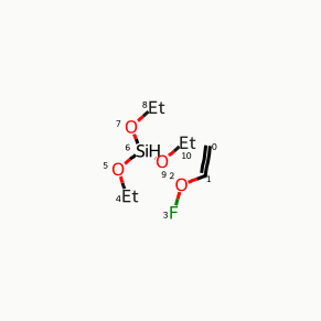 C=COF.CCO[SiH](OCC)OCC